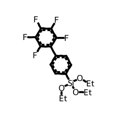 CCO[Si](OCC)(OCC)c1ccc(-c2c(F)c(F)c(F)c(F)c2F)cc1